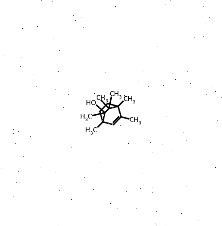 CC1=CC2(C)CCC1(C)C(C)(C)C2(C)O